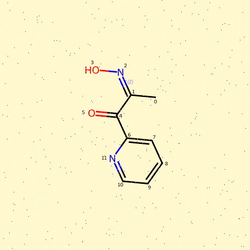 C/C(=N/O)C(=O)c1ccccn1